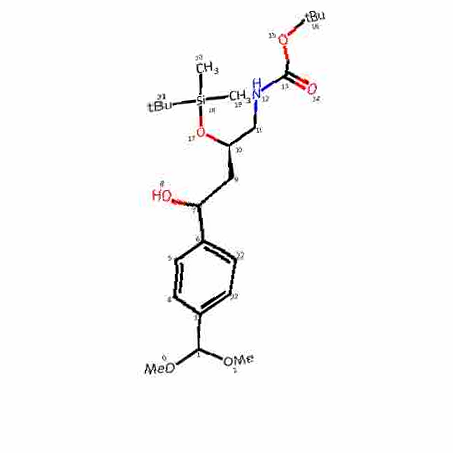 COC(OC)c1ccc(C(O)C[C@H](CNC(=O)OC(C)(C)C)O[Si](C)(C)C(C)(C)C)cc1